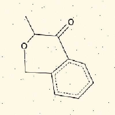 CC1OCc2ccccc2C1=O